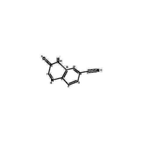 N#Cc1ccc2ncc(=O)[nH]c2c1